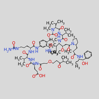 CC[C@H](C)[C@@H]([C@@H](CC(=O)N1CCC[C@H]1C[C@@H](C)C(=O)N[C@H](C)[C@@H](O)c1ccccc1)OC)N(C)C(=O)[C@@H](NC(=O)[C@H](C(C)C)N(C)C(=O)OCc1ccc(NC(=O)[C@H](CCCNC(N)=O)NC(=O)[C@@H](NC(=O)[C@H](CCC(=O)O)NC(=O)CCOCCC(=O)C(C)C)C(C)C)cc1C(=O)NC)C(C)C